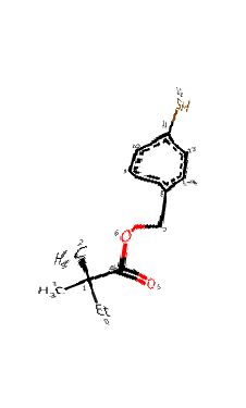 CCC(C)(C)C(=O)OCc1ccc(S)cc1